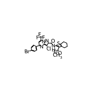 COC(=O)c1c(NC(=O)c2nn3c(C(F)(F)F)cc(-c4ccc(Br)cc4)nc3c2Cl)sc2c1CCCC2